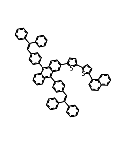 C(=C(c1ccccc1)c1ccccc1)c1ccc(-c2c3ccccc3c(-c3ccc(C=C(c4ccccc4)c4ccccc4)cc3)c3cc(-c4ccc(-c5ccc(-c6cccc7ccccc67)s5)s4)ccc23)cc1